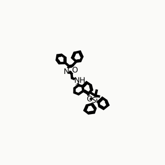 CC(C)(C)[Si](Oc1cccc2c1CCC[C@H]2NCc1nc(-c2ccccc2)c(-c2ccccc2)o1)(c1ccccc1)c1ccccc1